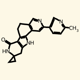 Cc1ccc(-c2cc3c(cn2)CCc2c-3[nH]c3c2C(=O)NC2(CC2)C3)cn1